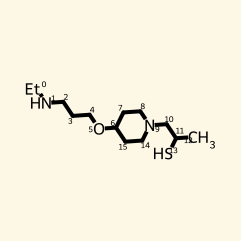 CCNCCCOC1CCN(CC(C)S)CC1